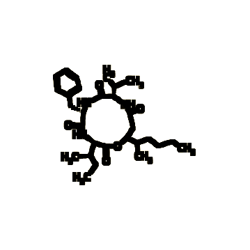 CCCCC(C)C1CC(=O)N[C@@H](C(C)C)C(=O)N[C@@H](Cc2ccccc2)C(=O)N[C@H]([C@H](C)CC)C(=O)O1